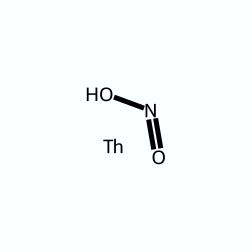 O=NO.[Th]